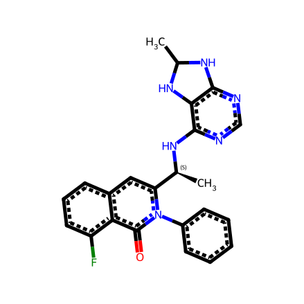 CC1Nc2ncnc(N[C@@H](C)c3cc4cccc(F)c4c(=O)n3-c3ccccc3)c2N1